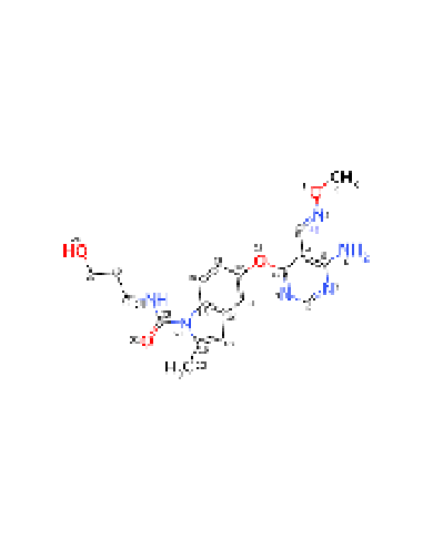 CO/N=C/c1c(N)ncnc1Oc1ccc2c(c1)cc(C)n2C(=O)NCCCO